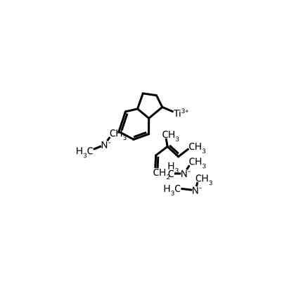 C=CC(C)=CC.C[N-]C.C[N-]C.C[N-]C.[Ti+3][CH]1CCC2C=CC=CC12